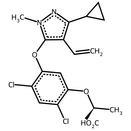 C=Cc1c(C2CC2)nn(C)c1Oc1cc(O[C@@H](C)C(=O)O)c(Cl)cc1Cl